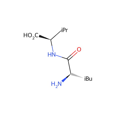 CC[C@@H](C)[C@@H](N)C(=O)N[C@@H](C(=O)O)C(C)C